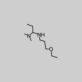 CCOCCCNC(CC)N(C)C